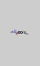 CCCNC(=O)c1ccc2cc(OC3CCN(C(C)C)CC3)ccc2c1